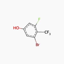 Oc1cc(F)c(C(F)(F)F)c(Br)c1